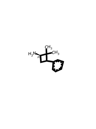 CC1(C)C(c2ccccc2)C[C@H]1N